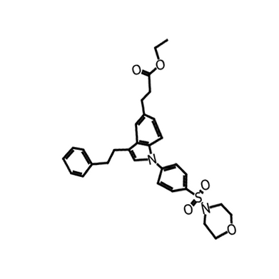 CCOC(=O)CCc1ccc2c(c1)c(CCc1ccccc1)cn2-c1ccc(S(=O)(=O)N2CCOCC2)cc1